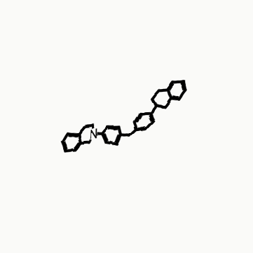 c1ccc2c(c1)CCC(c1ccc(Cc3ccc(N4CCc5ccccc5C4)cc3)cc1)C2